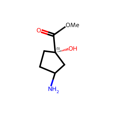 COC(=O)[C@]1(O)CCC(N)C1